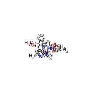 COc1ccc2c(c1)C=C(c1c(C(=O)N3C4CCC3CN(C)C4)cnn1C(C)C)Cn1c-2c(C2CCCCC2)c2ccc(C(=O)NS(=O)(=O)CC(C)C)cc21